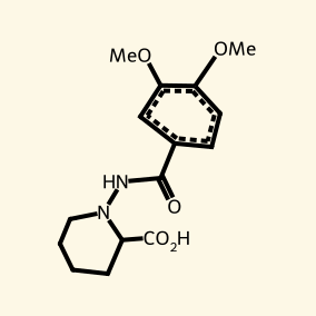 COc1ccc(C(=O)NN2CCCCC2C(=O)O)cc1OC